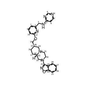 c1cc(CNc2ccncn2)nc(OC[C@@H]2CC[C@H]3CN(c4noc5ccccc45)CCN3C2)c1